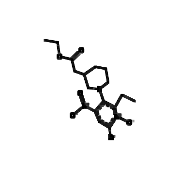 CCOC(=O)CC1CCCN(c2c([N+](=O)[O-])cc(Br)[n+]([O-])c2CC)C1